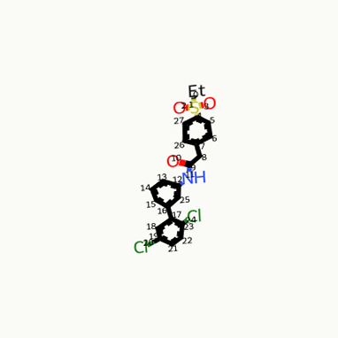 CCS(=O)(=O)c1ccc(CC(=O)Nc2cccc(-c3cc(Cl)ccc3Cl)c2)cc1